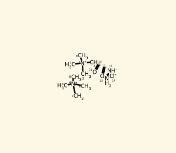 C[N+](C)(C)C.C[N+](C)(C)C.[C]=O.[C]=O.[Cl-].[NH-]N